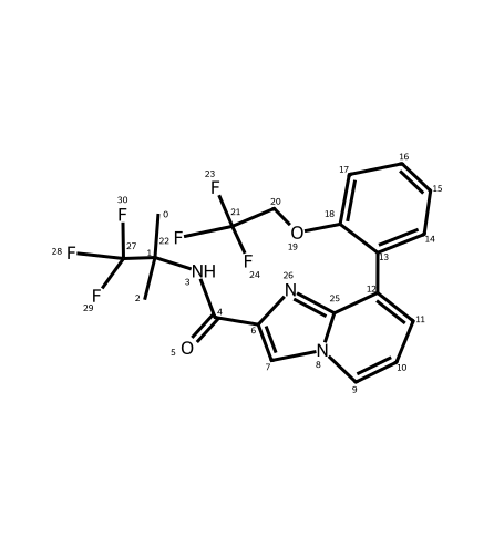 CC(C)(NC(=O)c1cn2cccc(-c3ccccc3OCC(F)(F)F)c2n1)C(F)(F)F